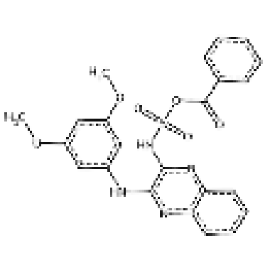 COc1cc(Nc2nc3ccccc3nc2NS(=O)(=O)OC(=O)c2ccccc2)cc(OC)c1